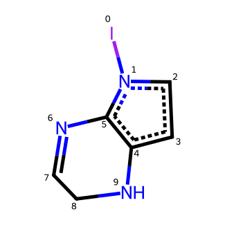 In1ccc2c1N=CCN2